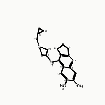 Oc1cc2nc3c(c(NC4CN(CC5CC5)C4)c2cc1O)CCC3